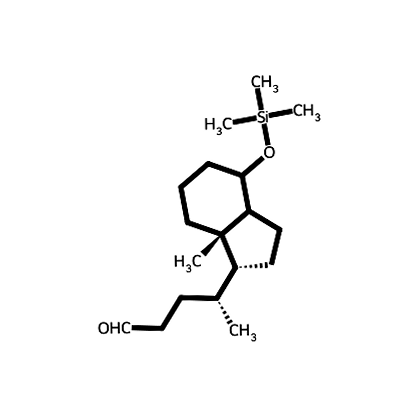 C[C@H](CCC=O)[C@H]1CCC2C(O[Si](C)(C)C)CCC[C@]21C